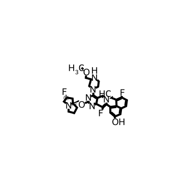 C#Cc1c(F)ccc2cc(O)cc(-c3ncc4c(N5CCNC(COC)C5)nc(OC[C@@]56CCCN5C[C@H](F)C6)nc4c3F)c12